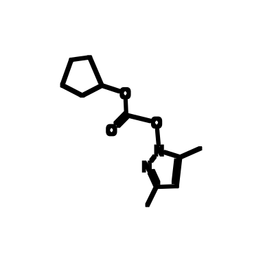 Cc1cc(C)n(OC(=O)OC2CCCC2)n1